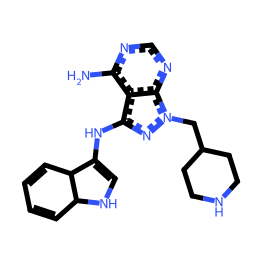 Nc1ncnc2c1c(NC1=CNC3C=CC=CC13)nn2CC1CCNCC1